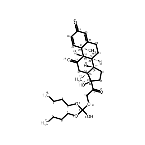 CCCCOC(O)(OCCCC)OCC(=O)[C@@]1(O)CC[C@H]2[C@@H]3CCC4=CC(=O)C=C[C@]4(C)[C@H]3C(=O)C[C@@]21C